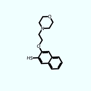 Sc1cc2ccccc2cc1OCCN1CCOCC1